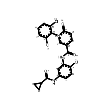 O=C(Nc1cc(NC(=O)C2CC2)ccc1Cl)c1ccc(=O)n(-c2c(Cl)cccc2Cl)c1